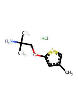 Cc1csc(OCC(C)(C)N)c1.Cl